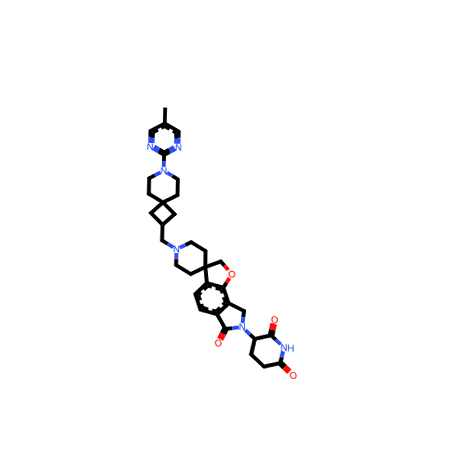 Cc1cnc(N2CCC3(CC2)CC(CN2CCC4(CC2)COc2c4ccc4c2CN(C2CCC(=O)NC2=O)C4=O)C3)nc1